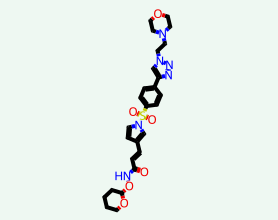 O=C(C=Cc1ccn(S(=O)(=O)c2ccc(-c3cn(CCN4CCOCC4)nn3)cc2)c1)NOC1CCCCO1